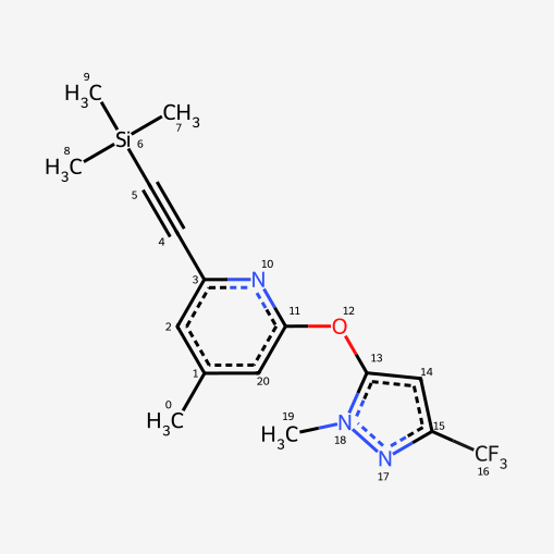 Cc1cc(C#C[Si](C)(C)C)nc(Oc2cc(C(F)(F)F)nn2C)c1